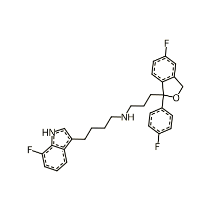 Fc1ccc(C2(CCCNCCCCc3c[nH]c4c(F)cccc34)OCc3cc(F)ccc32)cc1